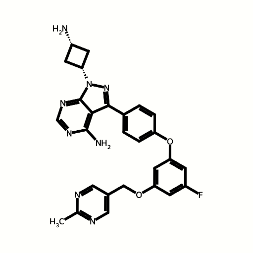 Cc1ncc(COc2cc(F)cc(Oc3ccc(-c4nn([C@H]5C[C@@H](N)C5)c5ncnc(N)c45)cc3)c2)cn1